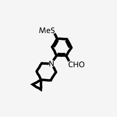 CSc1ccc(C=O)c(N2CCC3(CC2)CC3)c1